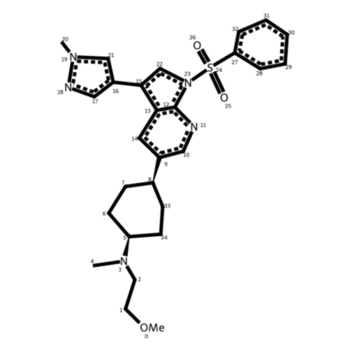 COCCN(C)[C@H]1CC[C@@H](c2cnc3c(c2)c(-c2cnn(C)c2)cn3S(=O)(=O)c2ccccc2)CC1